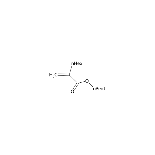 C=C(CCCCCC)C(=O)OCCCCC